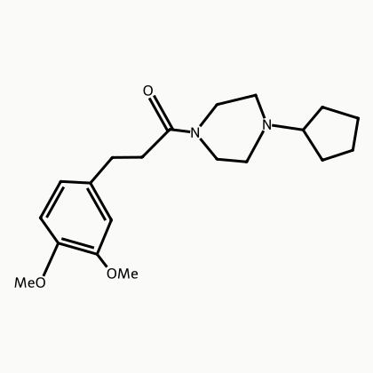 COc1ccc(CCC(=O)N2CCN(C3CCCC3)CC2)cc1OC